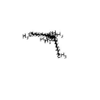 CCCCCCCCCCCC[N+](C)(C)CC(C)[N+](C)(C)CCCCCCCCCCCC